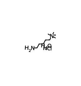 C[N+](C)(C)CCCCCN.Cl.O